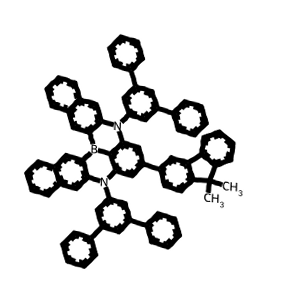 CC1(C)c2ccccc2-c2cc(-c3cc4c5c(c3)N(c3cc(-c6ccccc6)cc(-c6ccccc6)c3)c3cc6ccccc6cc3B5c3cc5ccccc5cc3N4c3cc(-c4ccccc4)cc(-c4ccccc4)c3)ccc21